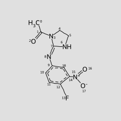 CC(=O)N1CCN/C1=N\c1ccc(F)c([N+](=O)[O-])c1